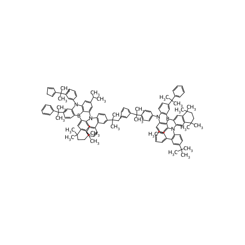 Cc1cc2c3c(c1)N(c1ccc(C(C)(C)C)cc1-c1ccccc1)c1cc4c(cc1B3c1cc(C(C)(C)c3ccccc3)ccc1N2c1ccc(C(C)(C)c2cccc(CC(C)(C)c3ccc(N5c6cc7c(cc6B6c8ccc(C(C)(C)c9ccccc9)cc8N(c8cccc(C(C)(C)C9=CCC=C9)c8)c8cc(C(C)C)cc5c86)C(C)(C)CCC7(C)C)c(-c5ccccc5)c3)c2)cc1)C(C)(C)CCC4(C)C